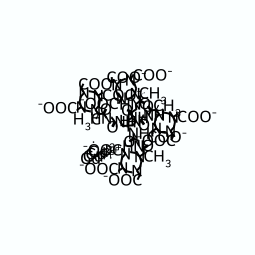 C[C@H](C(=O)NCC(=O)NCC(CNC(=O)CNC(=O)[C@@H](C)N1CCN(CC(=O)[O-])CCN(CC(=O)[O-])CCN(CC(=O)[O-])CC1)(CNC(=O)CNC(=O)[C@@H](C)N1CCN(CC(=O)[O-])CCN(CC(=O)[O-])CCN(CC(=O)[O-])CC1)CNC(=O)CNC(=O)[C@H](C)N1CCN(CC(=O)[O-])CCN(CC(=O)[O-])CCN(CC(=O)[O-])CC1)N1CCN(CC(=O)[O-])CCN(CC(=O)[O-])CCN(CC(=O)[O-])CC1.[Gd+3].[Gd+3].[Gd+3].[Gd+3]